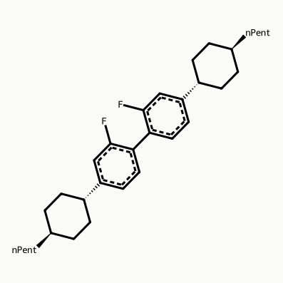 CCCCC[C@H]1CC[C@H](c2ccc(-c3ccc([C@H]4CC[C@H](CCCCC)CC4)cc3F)c(F)c2)CC1